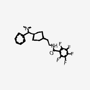 CN(C)C(c1ccccc1)C1CCC(CCNC(=O)c2c(F)c(F)c(F)c(F)c2F)CC1